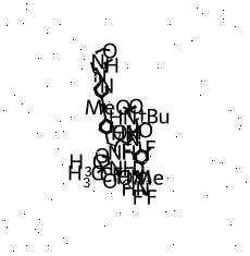 COC(=O)N[C@H](C(=O)NN(Cc1c(F)cc(C(=N)/C=C\NC(F)F)cc1F)C[C@H](O)[C@H](Cc1ccc(C#Cc2ccc(N3CCN4CCOC[C@H]4C3)nc2)cc1)NC(=O)[C@@H](NC(=O)OC)C(C)(C)C(F)(F)F)C(C)(C)C